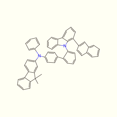 CC1(C)c2ccccc2-c2ccc(N(c3ccccc3)c3ccc(-c4ccccc4-n4c5ccccc5c5cccc(-c6ccc7ccccc7c6)c54)cc3)cc21